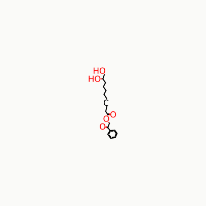 O=C(CCCCCCCCC(O)CO)OCC(=O)c1ccccc1